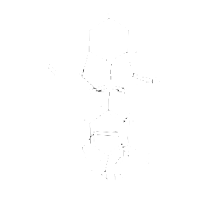 C=C[C@H]1CN(Cc2ccccn2)C(=O)C2CCCC1N2S(=O)(=O)c1ccc(NC(C)=O)c(Br)c1